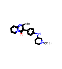 CCCCc1nc2ccccn2c(=O)c1-c1ccc(NC2CCCN(C(=O)O)C2)cc1